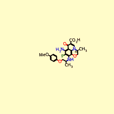 COc1ccc(OCC(C)Nc2c(F)c(N)c3c(=O)c(C(=O)O)cn4c3c2OC[C@@H]4C)cc1